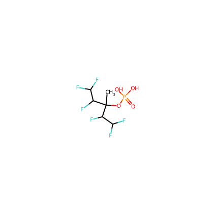 CC(OP(=O)(O)O)(C(F)C(F)F)C(F)C(F)F